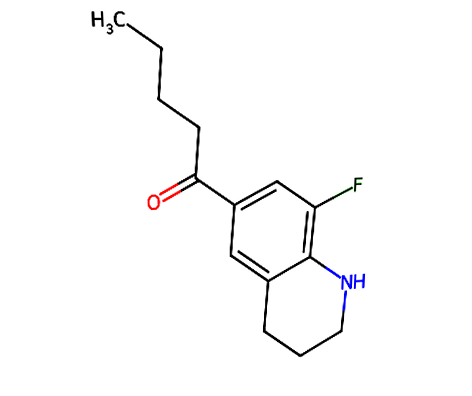 CCCCC(=O)c1cc(F)c2c(c1)CCCN2